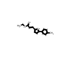 CCOC(=O)/C=C/c1ccc(-c2ccc(C)cc2)s1